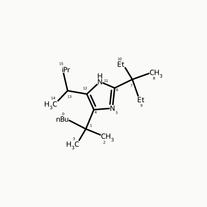 CCCCC(C)(C)c1nc(C(C)(CC)CC)[nH]c1C(C)C(C)C